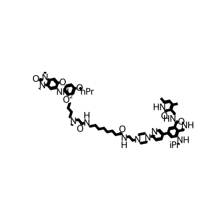 CCCOc1cc(OCCCCN(C)CC(=O)NCCCCCCCC(=O)NCCN2CCN(c3ccc(-c4cc(NC(C)C)c(C=N)c(C(=O)NCc5c(C)cc(C)[nH]c5=O)c4)cn3)CC2)cc(Oc2cc3c(cc2N)n(C)c(=O)n3C)c1